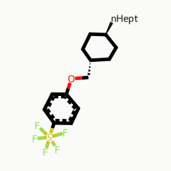 CCCCCCC[C@H]1CC[C@H](COc2ccc(S(F)(F)(F)(F)F)cc2)CC1